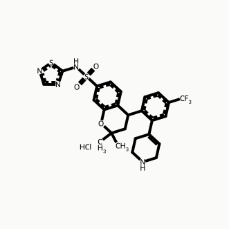 CC1(C)CC(c2ccc(C(F)(F)F)cc2C2=CCNCC2)c2ccc(S(=O)(=O)Nc3ncns3)cc2O1.Cl